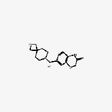 Cl.O=C1COc2cc(CN3CCC4(CC3)CNC4)ccc2N1